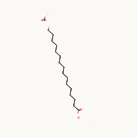 CCOC(=O)OC(=O)CCCCCCCCCCCCCCCOC(N)=O